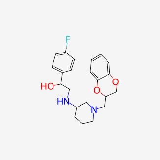 OC(CNC1CCCN(CC2COc3ccccc3O2)C1)c1ccc(F)cc1